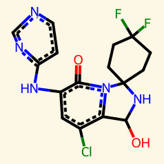 O=c1c(Nc2ccncn2)cc(Cl)c2n1C1(CCC(F)(F)CC1)NC2O